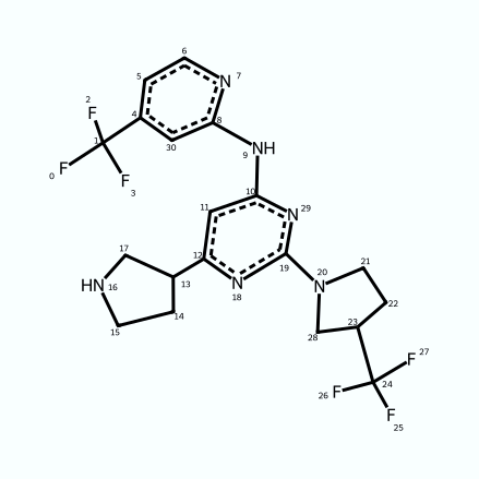 FC(F)(F)c1ccnc(Nc2cc(C3CCNC3)nc(N3CCC(C(F)(F)F)C3)n2)c1